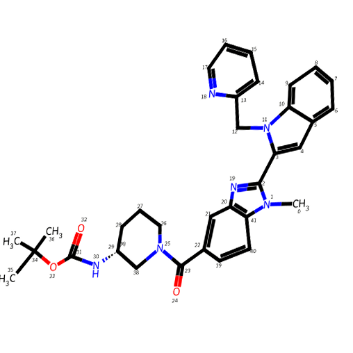 Cn1c(-c2cc3ccccc3n2Cc2ccccn2)nc2cc(C(=O)N3CCC[C@@H](NC(=O)OC(C)(C)C)C3)ccc21